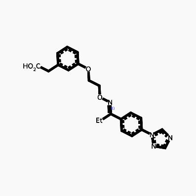 CC/C(=N\OCCOc1cccc(CC(=O)O)c1)c1ccc(-n2cncn2)cc1